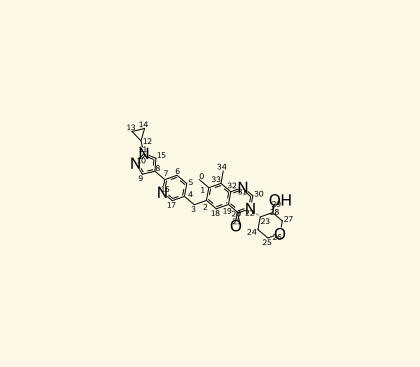 Cc1c(Cc2ccc(-c3cnn(C4CC4)c3)nc2)cc2c(=O)n([C@H]3CCOC[C@@H]3O)cnc2c1C